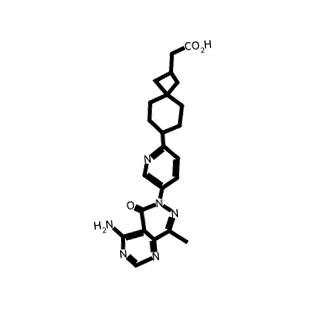 Cc1nn(-c2ccc(C3CCC4(CC3)CC(CC(=O)O)C4)nc2)c(=O)c2c(N)ncnc12